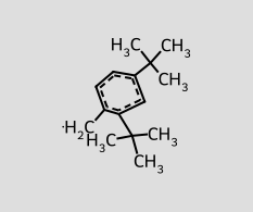 [CH2]c1ccc(C(C)(C)C)cc1C(C)(C)C